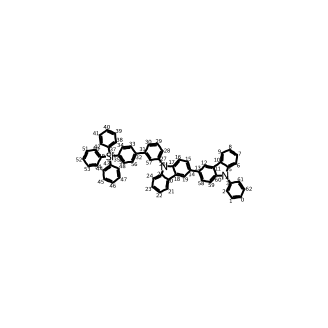 c1ccc(-n2c3ccccc3c3cc(-c4ccc5c(c4)c4ccccc4n5-c4cccc(-c5ccc([Si](c6ccccc6)(c6ccccc6)c6ccccc6)cc5)c4)ccc32)cc1